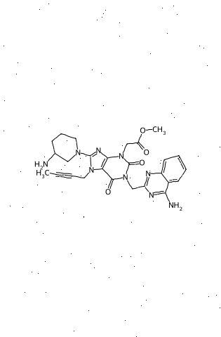 CC#CCn1c(N2CCCC(N)C2)nc2c1c(=O)n(Cc1nc(N)c3ccccc3n1)c(=O)n2CC(=O)OC